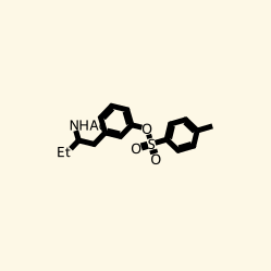 CCC(Cc1cccc(OS(=O)(=O)c2ccc(C)cc2)c1)NC(C)=O